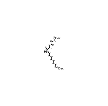 CCCCCCCCCCCCCCCCCCNC(C)CCCCCCCCCCCCCCC